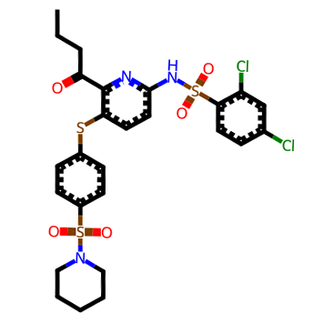 CCCC(=O)c1nc(NS(=O)(=O)c2ccc(Cl)cc2Cl)ccc1Sc1ccc(S(=O)(=O)N2CCCCC2)cc1